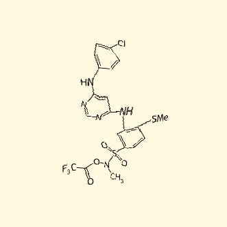 CSc1ccc(S(=O)(=O)N(C)OC(=O)C(F)(F)F)cc1Nc1cc(Nc2ccc(Cl)cc2)ncn1